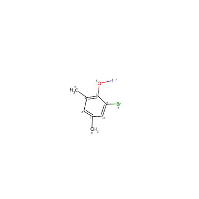 Cc1cc(C)c(OI)c(Br)c1